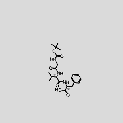 CC(C)[C@@H](NC(=O)CNC(=O)OC(C)(C)C)C(=O)N[C@@H](Cc1ccccc1)C(=O)O